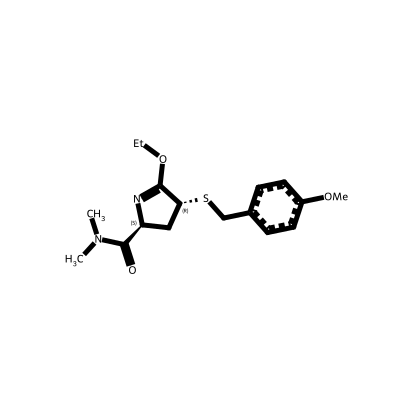 CCOC1=N[C@H](C(=O)N(C)C)C[C@H]1SCc1ccc(OC)cc1